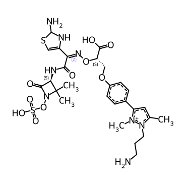 Cc1cc(-c2ccc(OC[C@H](O/N=C(\C(=O)N[C@@H]3C(=O)N(OS(=O)(=O)O)C3(C)C)C3=CSC(N)N3)C(=O)O)cc2)[n+](C)n1CCCN